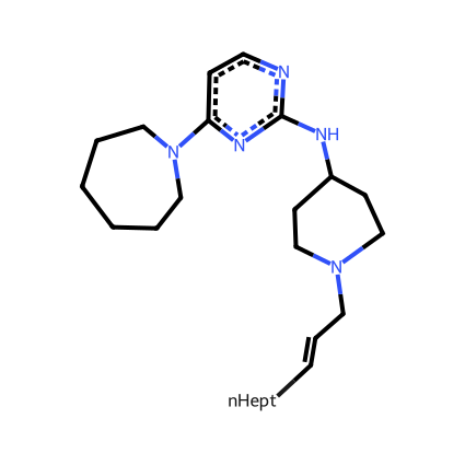 CCCCCCC/C=C/CN1CCC(Nc2nccc(N3CCCCCC3)n2)CC1